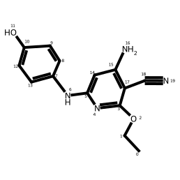 CCOc1nc(Nc2ccc(O)cc2)cc(N)c1C#N